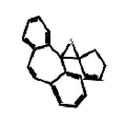 C1=Cc2ccccc2C2(SC23CCc2ccccc23)c2ccccc21